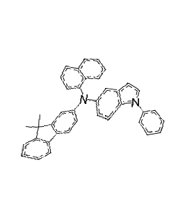 CC1(C)c2ccccc2-c2ccc(N(c3ccc4c(ccn4-c4ccccc4)c3)c3cccc4ccccc34)cc21